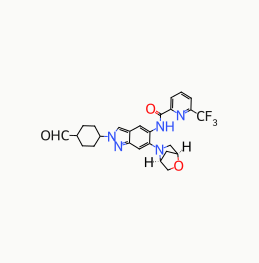 O=CC1CCC(n2cc3cc(NC(=O)c4cccc(C(F)(F)F)n4)c(N4C[C@@H]5C[C@H]4CO5)cc3n2)CC1